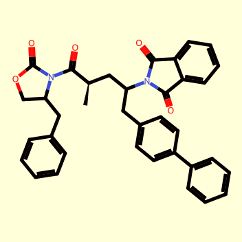 C[C@H](CC(Cc1ccc(-c2ccccc2)cc1)N1C(=O)c2ccccc2C1=O)C(=O)N1C(=O)OCC1Cc1ccccc1